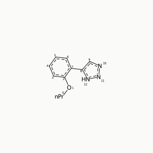 CCCOc1ccccc1-c1[c]nn[nH]1